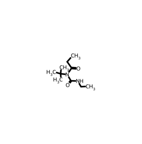 CCNC(=O)N(C(=O)CC)C(C)(C)C